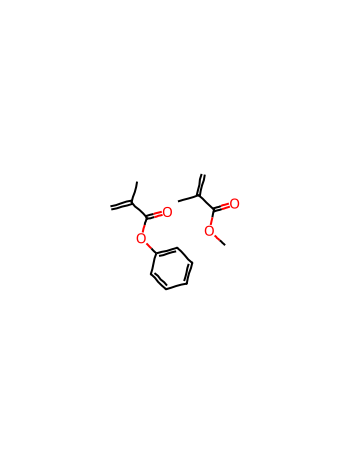 C=C(C)C(=O)OC.C=C(C)C(=O)Oc1ccccc1